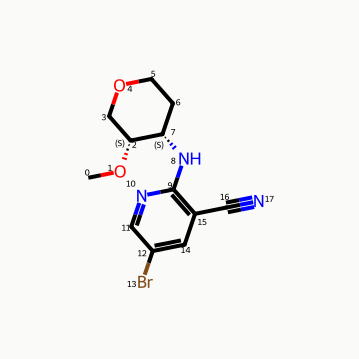 CO[C@@H]1COCC[C@@H]1Nc1ncc(Br)cc1C#N